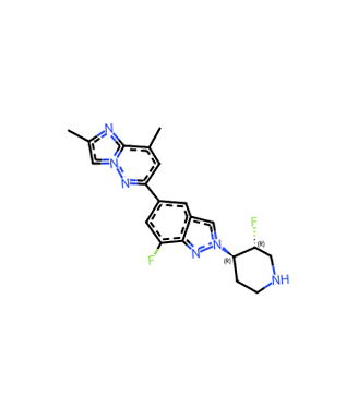 Cc1cn2nc(-c3cc(F)c4nn([C@@H]5CCNC[C@H]5F)cc4c3)cc(C)c2n1